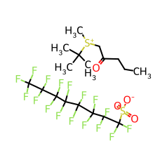 CCCC(=O)C[S+](C)C(C)(C)C.O=S(=O)([O-])C(F)(F)C(F)(F)C(F)(F)C(F)(F)C(F)(F)C(F)(F)C(F)(F)C(F)(F)F